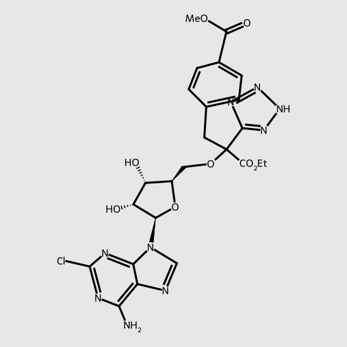 CCOC(=O)C(Cc1ccc(C(=O)OC)cc1)(OC[C@H]1O[C@@H](n2cnc3c(N)nc(Cl)nc32)[C@H](O)[C@@H]1O)c1nn[nH]n1